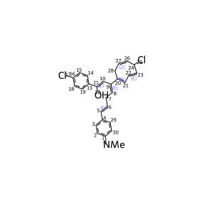 CNc1ccc(/C=C/C/C=C(\C=C(/O)c2ccc(Cl)cc2)C2=C/C=C/C(Cl)/C=C\C\2)cc1